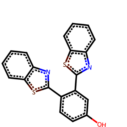 Oc1ccc(-c2nc3ccccc3s2)c(-c2nc3ccccc3s2)c1